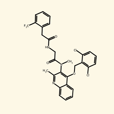 Cc1nc2ccccc2c(OCc2c(Cl)cccc2Cl)c1N(C)C(=O)CNC(=O)Cc1ccccc1C(F)(F)F